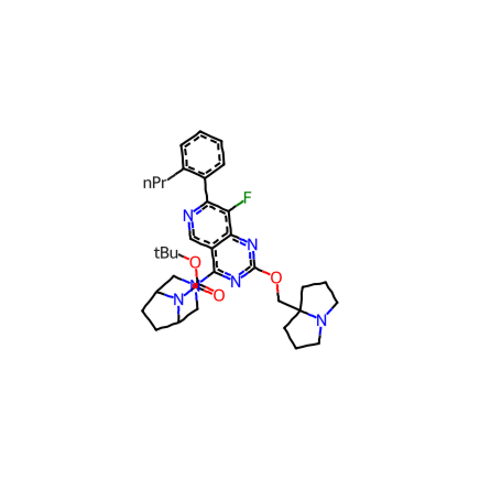 CCCc1ccccc1-c1ncc2c(N3CC4CCC(C3)N4C(=O)OC(C)(C)C)nc(OCC34CCCN3CCC4)nc2c1F